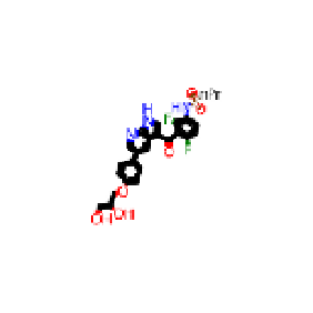 CCCS(=O)(=O)Nc1ccc(F)c(C(=O)c2c[nH]c3ncc(-c4ccc(OCC(O)CO)cc4)cc23)c1F